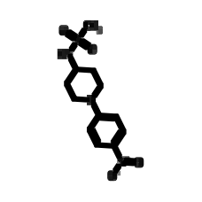 CS(=O)(=O)NC1CCN(c2ccc([N+](=O)[O-])cc2)CC1